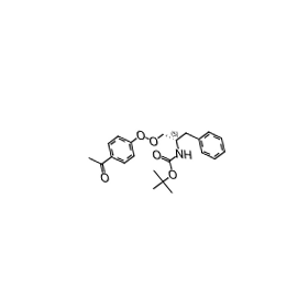 CC(=O)c1ccc(OOC[C@H](Cc2ccccc2)NC(=O)OC(C)(C)C)cc1